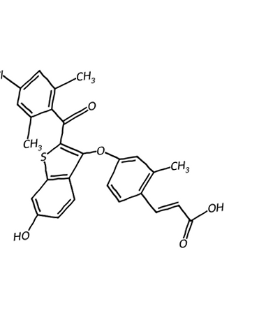 Cc1cc(Oc2c(C(=O)c3c(C)cc(Cl)cc3C)sc3cc(O)ccc23)ccc1/C=C/C(=O)O